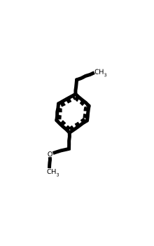 CCc1ccc(COC)cc1